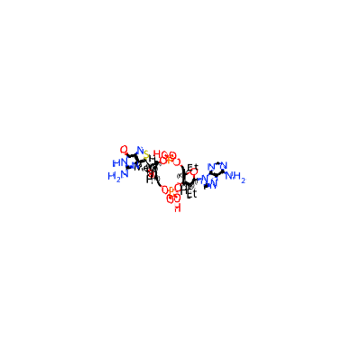 CC[C@H]1[C@H](n2cnc3c(N)ncnc32)O[C@]2(CC)COP(=O)(O)O[C@@H]3[C@H](OC)[C@@H](COP(=O)(O)O[C@@H]12)O[C@H]3c1snc2c(=O)[nH]c(N)nc12